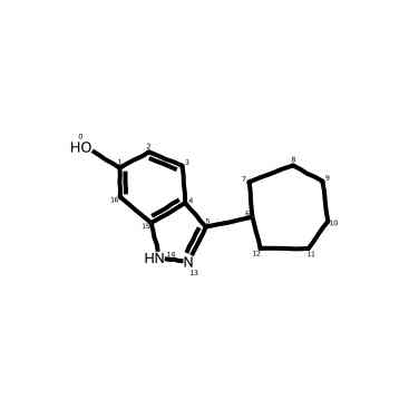 Oc1ccc2c(C3CCCCCC3)n[nH]c2c1